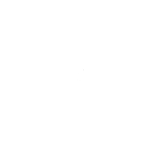 CCCCCC=CC(=O)OCCCC